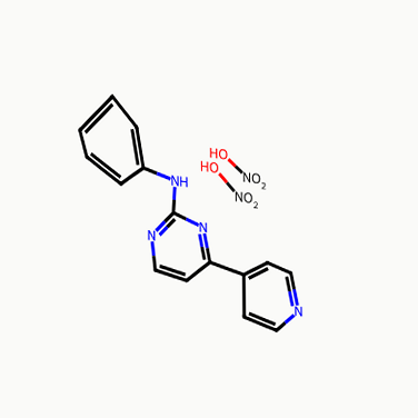 O=[N+]([O-])O.O=[N+]([O-])O.c1ccc(Nc2nccc(-c3ccncc3)n2)cc1